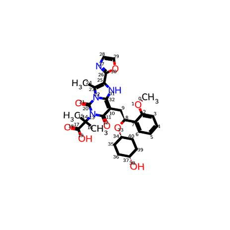 COc1ccccc1[C@H](Cc1c(=O)n(C(C)(C)C(=O)O)c(=O)n2c(C)c(-c3ncco3)[nH]c12)O[C@H]1CC[C@@H](O)CC1